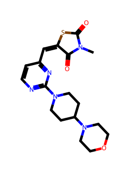 CN1C(=O)SC(=Cc2ccnc(N3CCC(N4CCOCC4)CC3)n2)C1=O